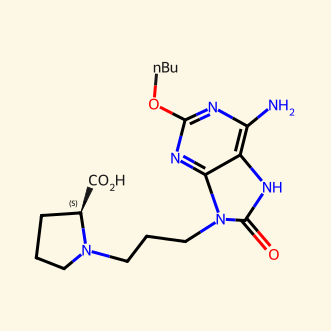 CCCCOc1nc(N)c2[nH]c(=O)n(CCCN3CCC[C@H]3C(=O)O)c2n1